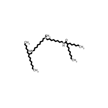 CCCCCCCCC(CCCCCC)CNCCCCCCCCN(C)CCCCCCCCNC(=O)C(CCCCCC)CCCCCCCC